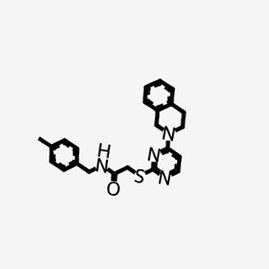 Cc1ccc(CNC(=O)CSc2nccc(N3CCc4ccccc4C3)n2)cc1